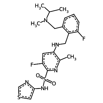 Cc1nc(S(=O)(=O)Nc2cscn2)c(F)cc1NCc1c(F)cccc1CN(C)C(C)C